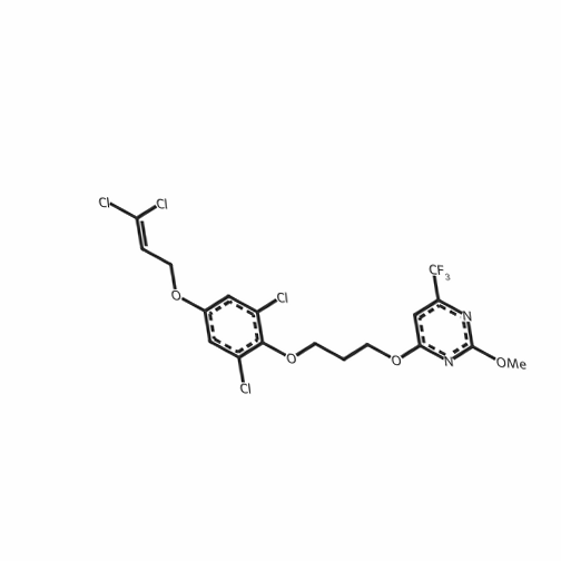 COc1nc(OCCCOc2c(Cl)cc(OCC=C(Cl)Cl)cc2Cl)cc(C(F)(F)F)n1